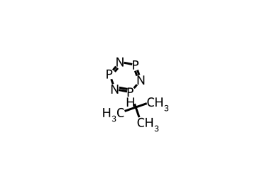 CC(C)(C)[PH]1=NP=NP=N1